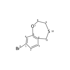 Brc1ccc2c(c1)OCCSC2